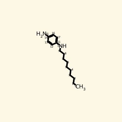 CCCCCCCCCCNc1ccc(N)cc1